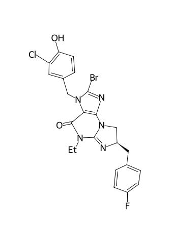 CCN1C(=O)c2c(nc(Br)n2Cc2ccc(O)c(Cl)c2)N2C[C@@H](Cc3ccc(F)cc3)N=C12